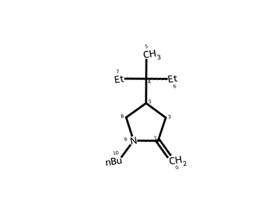 C=C1CC(C(C)(CC)CC)CN1CCCC